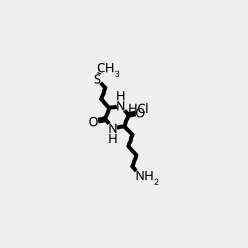 CSCCC1NC(=O)C(CCCCN)NC1=O.Cl